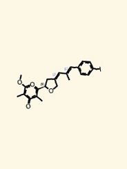 COc1oc([C@H]2C/C(=C/C(C)=C/c3ccc(I)cc3)CO2)c(C)c(=O)c1C